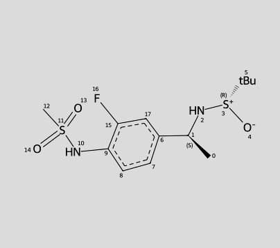 C[C@H](N[S@@+]([O-])C(C)(C)C)c1ccc(NS(C)(=O)=O)c(F)c1